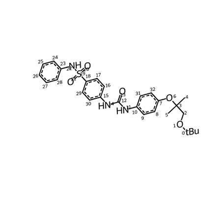 CC(C)(C)OCC(C)(C)Oc1ccc(NC(=O)Nc2ccc(S(=O)(=O)Nc3ccccc3)cc2)cc1